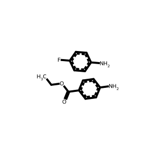 CCOC(=O)c1ccc(N)cc1.Nc1ccc(F)cc1